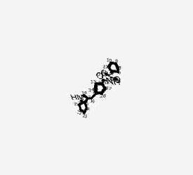 O=C(NS(=O)(=O)c1ccccc1)c1ccc(Cc2c[nH]c3ccccc23)cc1